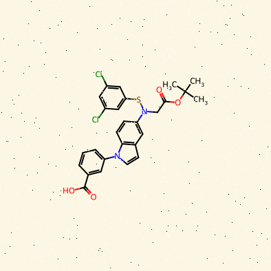 CC(C)(C)OC(=O)CN(Sc1cc(Cl)cc(Cl)c1)c1ccc2c(ccn2-c2cccc(C(=O)O)c2)c1